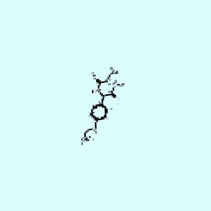 COCOc1ccc(C(NC(=O)OC(C)(C)C)C(=O)OC)cc1